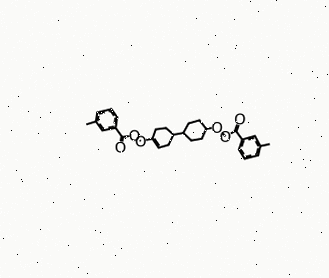 Cc1cccc(C(=O)OOC2=CCC(C3CCC(OOC(=O)c4cccc(C)c4)CC3)CC2)c1